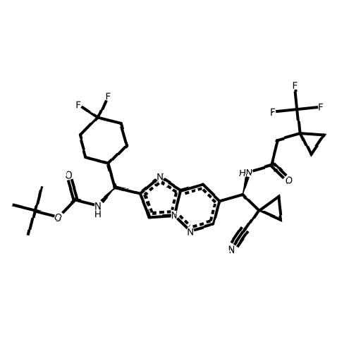 CC(C)(C)OC(=O)N[C@H](c1cn2ncc([C@@H](NC(=O)CC3(C(F)(F)F)CC3)C3(C#N)CC3)cc2n1)C1CCC(F)(F)CC1